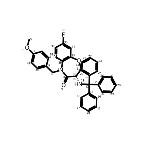 COc1ccc(CN2C(=O)[C@@H](NC(c3ccccc3)(c3ccccc3)c3ccccc3)COc3cc(F)cnc32)cc1